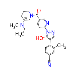 CCN(C)[C@@H]1CCCN(C(=O)c2ccc(-n3ncc(-c4ccc(C#N)cc4C)c3O)nc2)C1